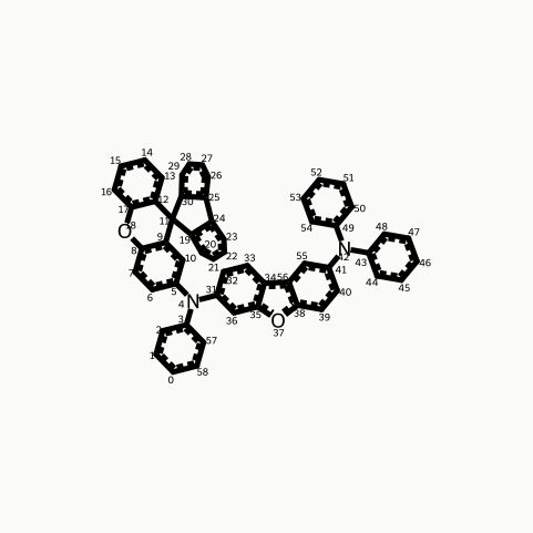 c1ccc(N(c2ccc3c(c2)C2(c4ccccc4O3)c3ccccc3-c3ccccc32)c2ccc3c(c2)oc2ccc(N(c4ccccc4)c4ccccc4)cc23)cc1